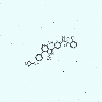 CCn1nc(-c2ccc(NS(=O)(=O)c3ccccc3Cl)c(F)c2)c2c(N)ncc(-c3ccc(NC4COC4)cc3)c21